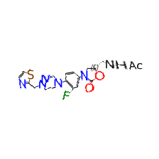 CC(=O)NC[C@H]1CN(c2ccc(N3C=NN(Cc4nccs4)CC3)c(F)c2)C(=O)O1